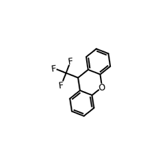 FC(F)(F)C1c2ccccc2Oc2ccccc21